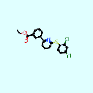 CCOC(=O)c1cccc(-c2cccc(Sc3ccc(Cl)cc3Cl)n2)c1